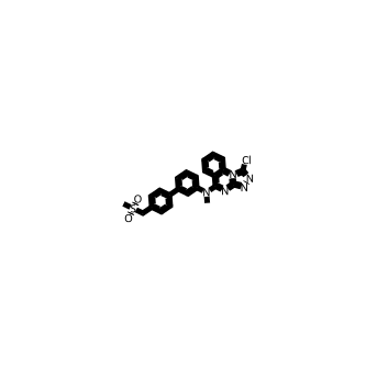 CN(c1cccc(-c2ccc(CS(C)(=O)=O)cc2)c1)c1nc2nnc(Cl)n2c2ccccc12